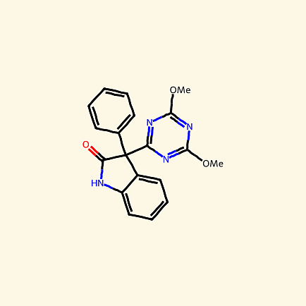 COc1nc(OC)nc(C2(c3ccccc3)C(=O)Nc3ccccc32)n1